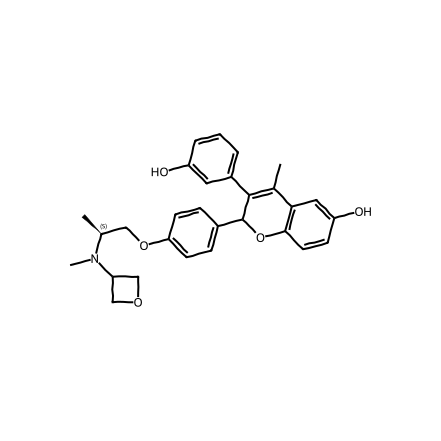 CC1=C(c2cccc(O)c2)C(c2ccc(OC[C@H](C)N(C)C3COC3)cc2)Oc2ccc(O)cc21